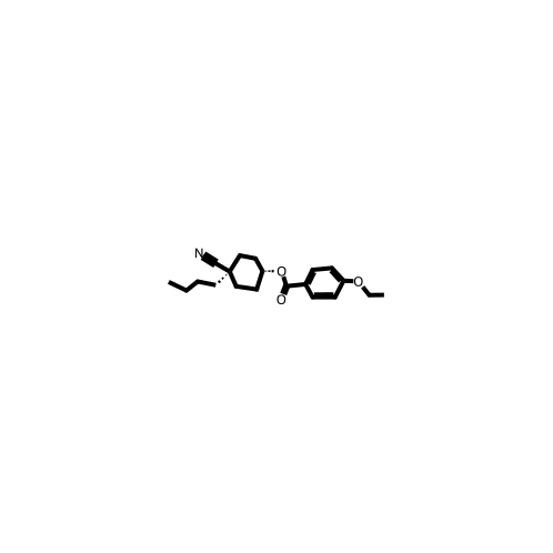 CCCC[C@]1(C#N)CC[C@H](OC(=O)c2ccc(OCC)cc2)CC1